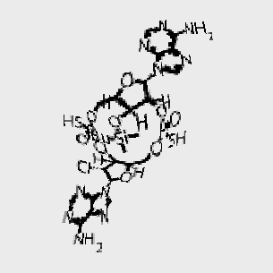 CC(C)(C)[Si](C)(C)O[C@H]1[C@H]2OP(=O)(S)OC[C@H]3O[C@@H](n4cnc5c(N)ncnc54)[C@H](Cl)[C@@H]3OP(=O)(S)OC[C@H]1O[C@H]2n1cnc2c(N)ncnc21